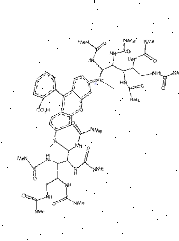 CNC(=O)NCC(NC(=O)NC)C(NC(=O)NC)C(NC(=O)NC)C(NC(=O)NC)N(C)c1ccc2c(-c3ccccc3C(=O)O)c3cc/c(=[N+](/C)C(NC(=O)NC)C(NC(=O)NC)C(NC(=O)NC)C(CNC(=O)NC)NC(=O)NC)cc-3oc2c1